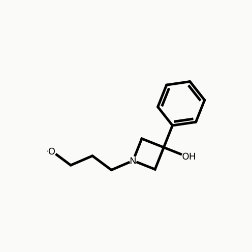 [O]CCCN1CC(O)(c2ccccc2)C1